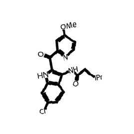 COc1ccnc(C(=O)c2[nH]c3cc(Cl)ccc3c2NC(=O)CC(C)C)c1